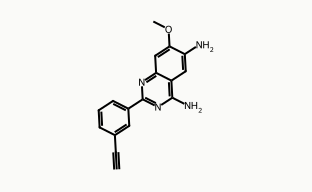 C#Cc1cccc(-c2nc(N)c3cc(N)c(OC)cc3n2)c1